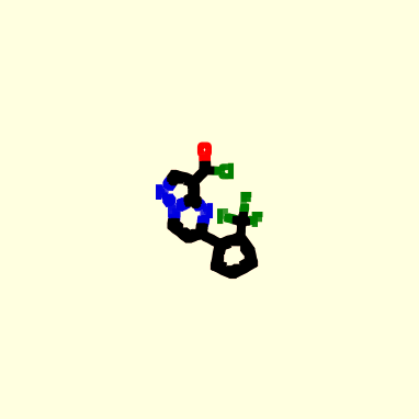 O=C(Cl)c1cnn2ccc(-c3ccccc3C(F)(F)F)nc12